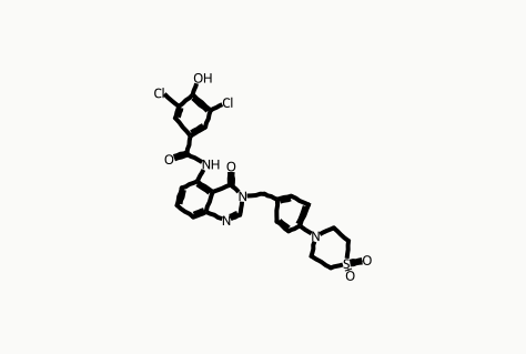 O=C(Nc1cccc2ncn(Cc3ccc(N4CCS(=O)(=O)CC4)cc3)c(=O)c12)c1cc(Cl)c(O)c(Cl)c1